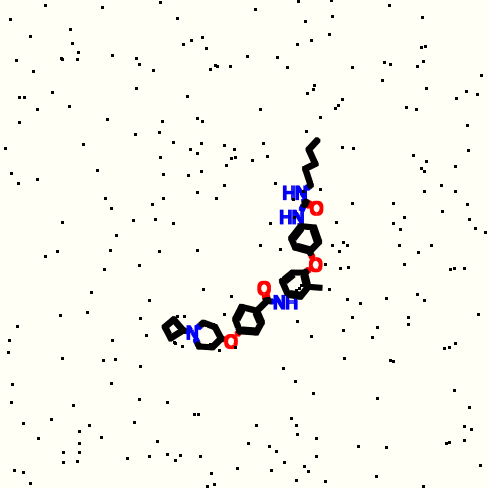 CCCCCNC(=O)Nc1ccc(Oc2ccc(NC(=O)c3ccc(OC4CCN(C5CCC5)CC4)cc3)cc2C)cc1